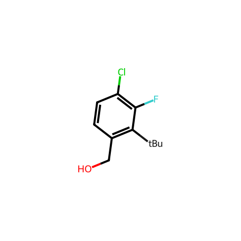 CC(C)(C)c1c(CO)ccc(Cl)c1F